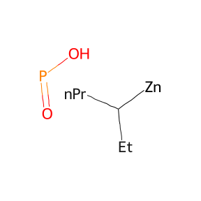 CCC[CH]([Zn])CC.O=PO